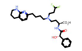 O=C(O)[C@H](CCN(CCCCc1ccc2c(n1)NCCC2)CCC(F)F)NC(=O)[C@@H](O)c1ccccc1